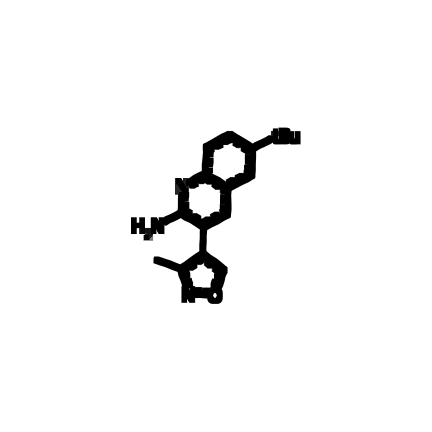 Cc1nocc1-c1cc2cc(C(C)(C)C)ccc2nc1N